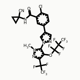 Cn1nc(C(F)(F)C(F)(F)F)c(OC(F)(F)C(F)(F)C(F)(F)F)c1-n1cc(-c2ccc(Cl)c(C(=O)NC3(C#N)CC3)c2)cn1